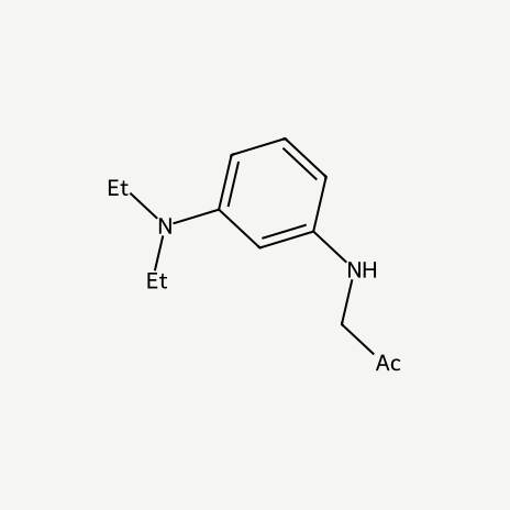 CCN(CC)c1cccc(NCC(C)=O)c1